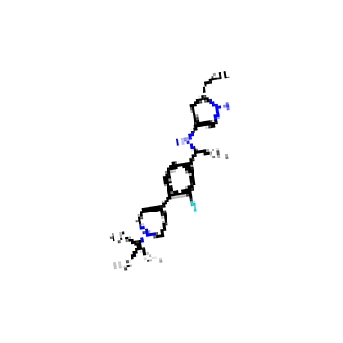 CC[C@H]1CC(NC(C)c2ccc(C3=CCN(C(C)(C)C)CC3)c(F)c2)=CN1